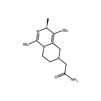 C[C@@H]1N=C(C(C)(C)C)N2CCN(CC(N)=O)CC2=C1C(C)(C)C